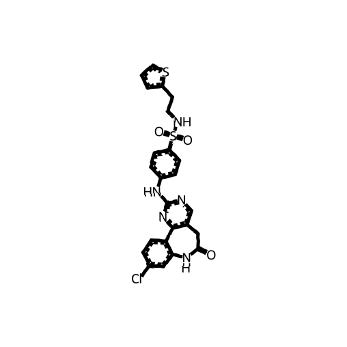 O=C1Cc2cnc(Nc3ccc(S(=O)(=O)NCCc4cccs4)cc3)nc2-c2ccc(Cl)cc2N1